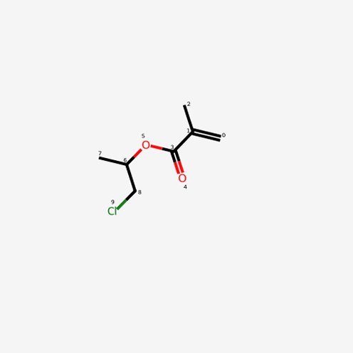 C=C(C)C(=O)OC(C)CCl